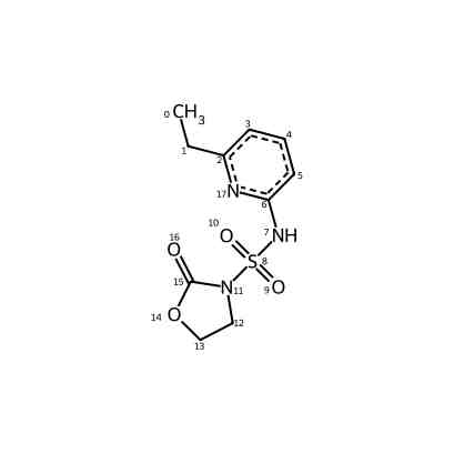 CCc1cccc(NS(=O)(=O)N2CCOC2=O)n1